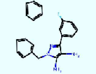 Nc1c(-c2cccc(F)c2)nn(Cc2ccccc2)c1N.c1ccccc1